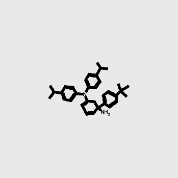 CC(C)c1ccc(N(C2=CC=CC(N)(c3ccc(C(C)(C)C)cc3)C2)c2ccc(C(C)C)cc2)cc1